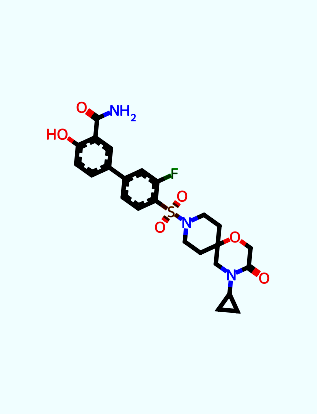 NC(=O)c1cc(-c2ccc(S(=O)(=O)N3CCC4(CC3)CN(C3CC3)C(=O)CO4)c(F)c2)ccc1O